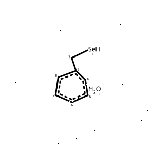 O.[SeH]Cc1ccccc1